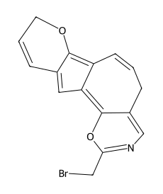 BrCC1=NC=C2CC=CC3=C4OCC=CC4=CC3=C2O1